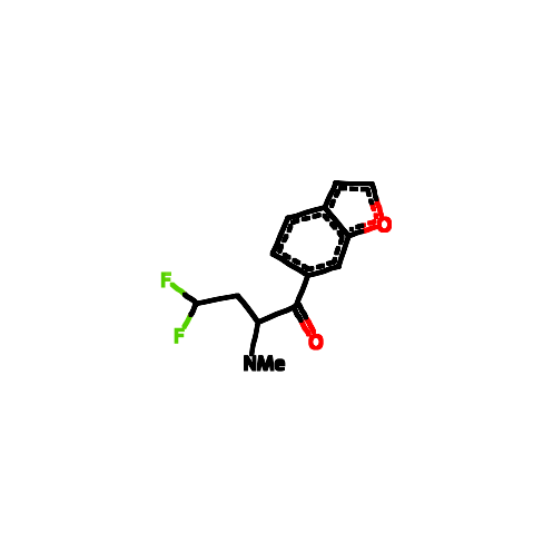 CNC(CC(F)F)C(=O)c1ccc2ccoc2c1